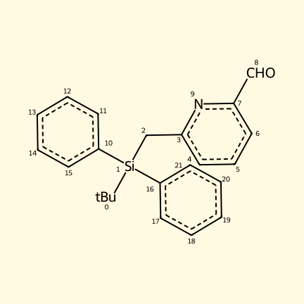 CC(C)(C)[Si](Cc1cccc(C=O)n1)(c1ccccc1)c1ccccc1